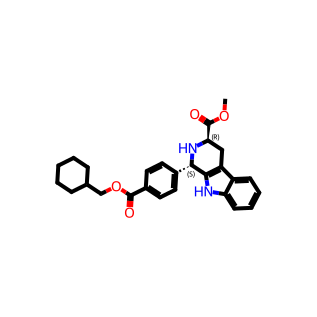 COC(=O)[C@H]1Cc2c([nH]c3ccccc23)[C@H](c2ccc(C(=O)OCC3CCCCC3)cc2)N1